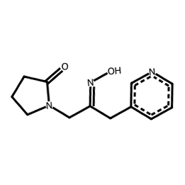 O=C1CCCN1CC(Cc1cccnc1)=NO